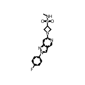 CNS(=O)(=O)C1CN(c2cc3nn(-c4ccc(F)cc4)cc3cn2)C1